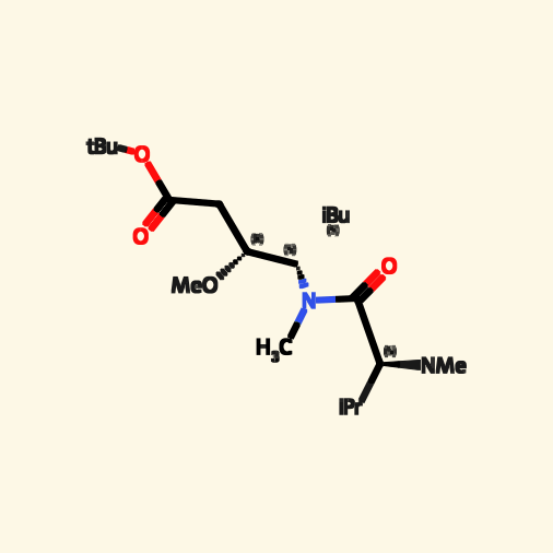 CC[C@H](C)[C@@H]([C@@H](CC(=O)OC(C)(C)C)OC)N(C)C(=O)[C@@H](NC)C(C)C